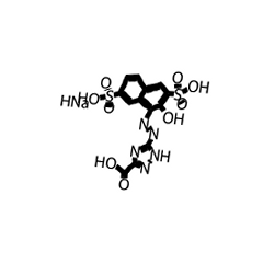 O=C(O)c1n[nH]c(N=Nc2c(O)c(S(=O)(=O)O)cc3ccc(S(=O)(=O)O)cc23)n1.[NaH]